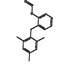 Cc1cc(C)c(Cc2ccccc2OP=O)c(C)c1